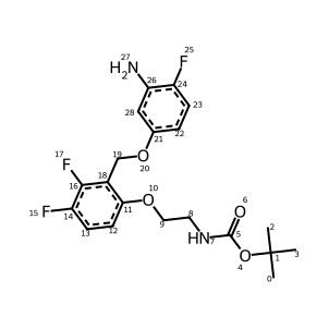 CC(C)(C)OC(=O)NCCOc1ccc(F)c(F)c1COc1ccc(F)c(N)c1